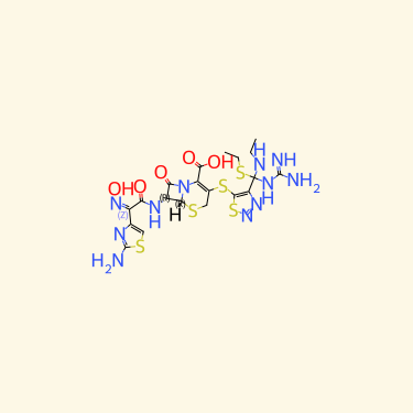 CCNC(NC(=N)N)(SCC)c1nnsc1SC1=C(C(=O)O)N2C(=O)[C@@H](NC(=O)/C(=N\O)c3csc(N)n3)[C@H]2SC1